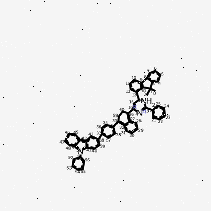 CC1(C)c2ccccc2-c2cccc(C/C=C(\N=C(/N)c3ccccc3)C3=c4ccccc4=C(c4ccc(-c5ccc6c(c5)c5ccccc5n6-c5ccccc5)cc4)CC3)c21